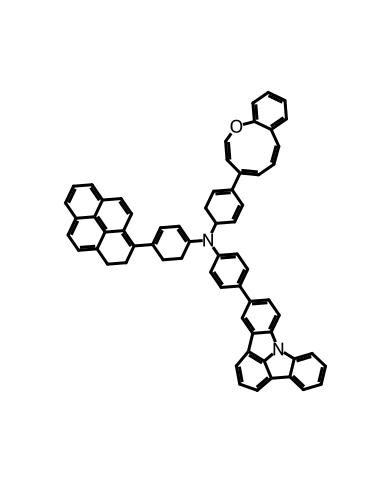 C1=CC(N(C2=CC=C(C3=c4ccc5cccc6ccc(c4c65)CC3)CC2)c2ccc(-c3ccc4c(c3)c3cccc5c6ccccc6n4c53)cc2)CC=C1c1cccc2ccccc2occ1